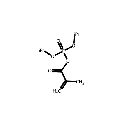 C=C(C)C(=O)OP(=O)(OC(C)C)OC(C)C